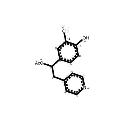 CC(=O)OC(Cc1ccncc1)c1ccc(O)c(O)c1